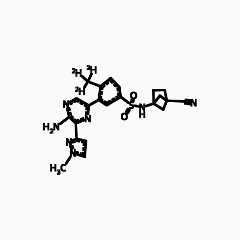 [2H]C([2H])([2H])c1ccc(S(=O)(=O)NC23CCC(C#N)(C2)C3)cc1-c1cnc(N)c(-c2ccn(C)n2)n1